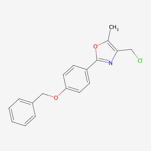 Cc1oc(-c2ccc(OCc3ccccc3)cc2)nc1CCl